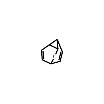 C1=CC2C3C=CC1CC23